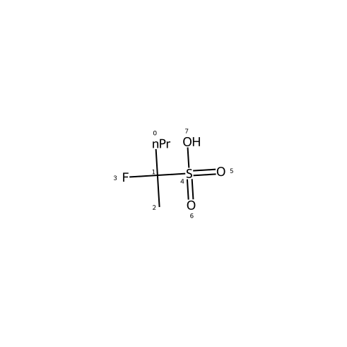 CCCC(C)(F)S(=O)(=O)O